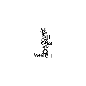 COc1cc(/C=C2\SC(=O)N(CC(=O)NCc3cccs3)C2=O)ccc1O